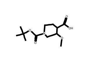 COC1CN(C(=O)OC(C)(C)C)CCC1C(=O)O